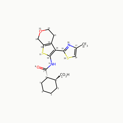 O=C(O)[C@H]1CCCC[C@@H]1C(=O)Nc1sc2c(c1-c1nc(C(F)(F)F)cs1)CCOC2